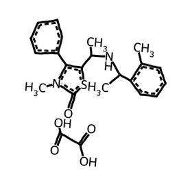 Cc1ccccc1C(C)NC(C)c1sc(=O)n(C)c1-c1ccccc1.O=C(O)C(=O)O